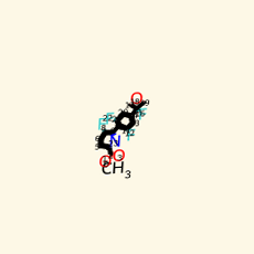 COC(=O)c1ccc(F)c(-c2c(F)cc(C3(F)COC3)cc2F)n1